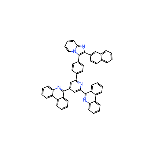 c1ccc2cc(-c3nc4ccccn4c3-c3ccc(-c4cc(-c5nc6ccccc6c6ccccc56)cc(-c5nc6ccccc6c6ccccc56)n4)cc3)ccc2c1